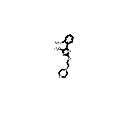 CSc1ccccc1-c1nc(OCCN2CCOCC2)sc1C